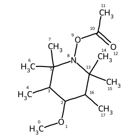 COC1C(C)C(C)(C)N(OC(C)=O)C(C)(C)C1C